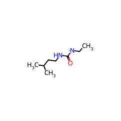 CC[N]C(=O)NCCC(C)C